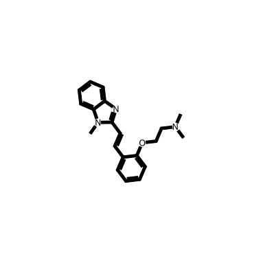 CN(C)CCOc1ccccc1/C=C/c1nc2ccccc2n1C